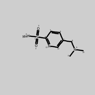 CNS(=O)(=O)c1ccc(CN(C)C)cn1